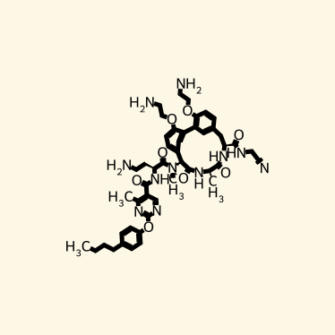 CCCCc1ccc(Oc2ncc(C(=O)N[C@@H](CCN)C(=O)N(C)[C@@H]3C(=O)N[C@@H](C)C(=O)N[C@H](C(=O)NCC#N)Cc4ccc(OCCN)c(c4)-c4cc3ccc4OCCN)c(C)n2)cc1